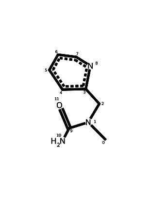 CN(Cc1ccccn1)C(N)=O